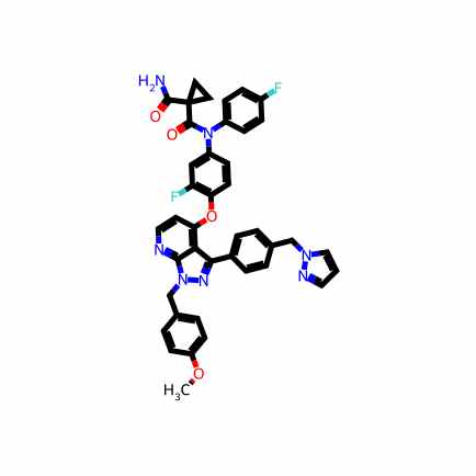 COc1ccc(Cn2nc(-c3ccc(Cn4cccn4)cc3)c3c(Oc4ccc(N(C(=O)C5(C(N)=O)CC5)c5ccc(F)cc5)cc4F)ccnc32)cc1